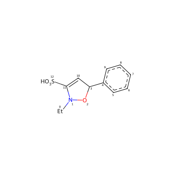 CCN1OC(c2ccccc2)C=C1S(=O)(=O)O